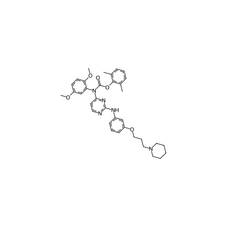 COc1ccc(OC)c(N(C(=O)Oc2c(C)cccc2C)c2ccnc(Nc3cccc(OCCCN4CCCCC4)c3)n2)c1